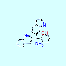 NC(c1ccccc1)(c1cnc2ccccc2c1)c1ccc2cccnc2c1O